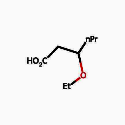 CCCC(CC(=O)O)OCC